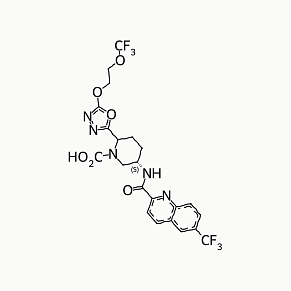 O=C(N[C@H]1CCC(c2nnc(OCCOC(F)(F)F)o2)N(C(=O)O)C1)c1ccc2cc(C(F)(F)F)ccc2n1